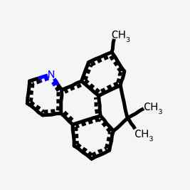 Cc1cc2c3c(c1)c1ncccc1c1cccc(c13)C2(C)C